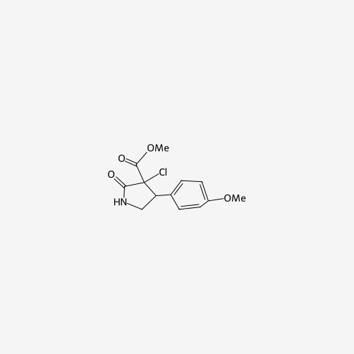 COC(=O)C1(Cl)C(=O)NCC1c1ccc(OC)cc1